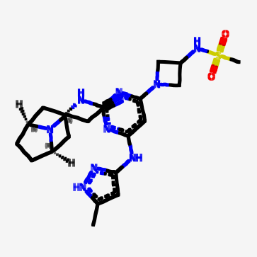 Cc1cc(Nc2cc(N3CC(NS(C)(=O)=O)C3)nc(N[C@@H]3C[C@H]4CC[C@@H](C3)N4CCC#N)n2)n[nH]1